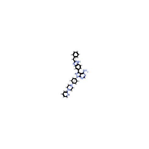 Nc1ncnc2c1c(-c1ccc3[nH]c(Cc4ccccc4)nc3c1)nn2[C@H]1CC[C@H](N2CCN(c3ccccn3)CC2)CC1